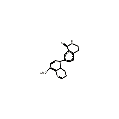 COC1=C2N=CCCC2C(c2ccc3c(c2)C(=O)NCC3)C=C1